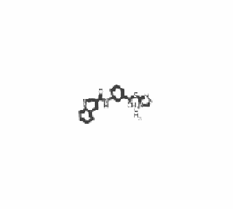 C[C@H](Sc1nncn1C)c1cccc(NC(=O)c2cnc3ccccc3c2)c1